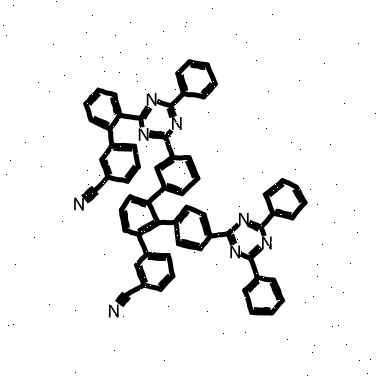 N#Cc1cccc(-c2ccccc2-c2nc(-c3ccccc3)nc(-c3cccc(-c4cccc(-c5cccc(C#N)c5)c4-c4ccc(-c5nc(-c6ccccc6)nc(-c6ccccc6)n5)cc4)c3)n2)c1